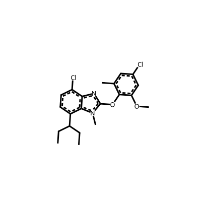 CCC(CC)c1ccc(Cl)c2nc(Oc3c(C)cc(Cl)cc3OC)n(C)c12